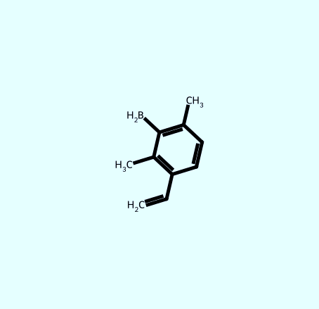 Bc1c(C)ccc(C=C)c1C